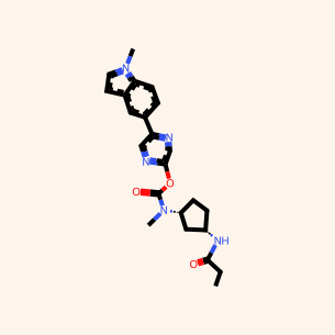 CCC(=O)N[C@H]1CC[C@@H](N(C)C(=O)Oc2cnc(-c3ccc4c(ccn4C)c3)cn2)C1